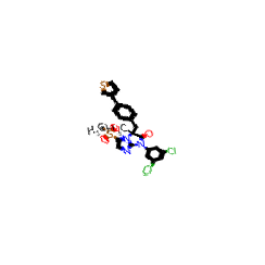 C[C@@]1(Cc2ccc(-c3ccsc3)cc2)C(=O)N(c2cc(Cl)cc(Cl)c2)c2ncc(S(C)(=O)=O)n21